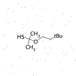 CC(C)(C)CCOC(C)(C)S